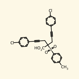 Cc1ccc(S(=O)(=O)C(CC#Cc2ccc(Cl)cc2)(CC#Cc2ccc(Cl)cc2)C(=O)O)cc1